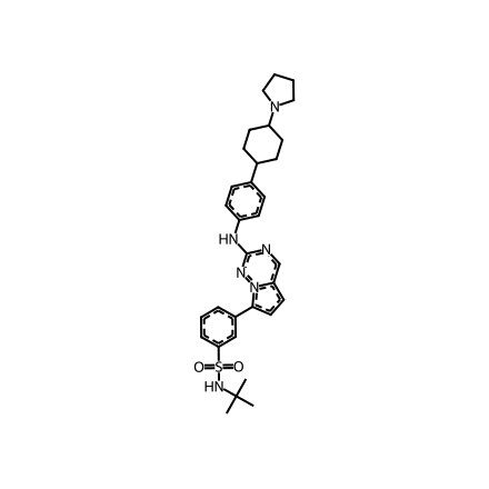 CC(C)(C)NS(=O)(=O)c1cccc(-c2ccc3cnc(Nc4ccc(C5CCC(N6CCCC6)CC5)cc4)nn23)c1